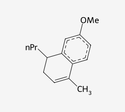 CCCC1CC=C(C)c2ccc(OC)cc21